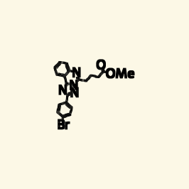 COC(=O)CCCc1nc2ccccc2c2nc(-c3ccc(Br)cc3)nn12